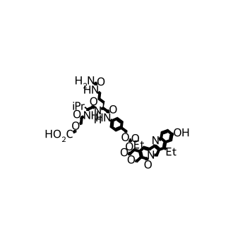 CCc1c2c(nc3ccc(O)cc13)-c1cc3c(c(=O)n1C2)COC(=O)[C@@]3(CC)OC(=O)OCc1ccc(NC(=O)[C@H](CCCNC(N)=O)NC(=O)[C@@H](NC(=O)COCC(=O)O)C(C)C)cc1